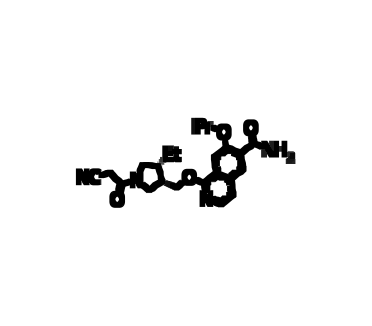 CC[C@H]1CN(C(=O)CC#N)C[C@@H]1COc1nccc2cc(C(N)=O)c(OC(C)C)cc12